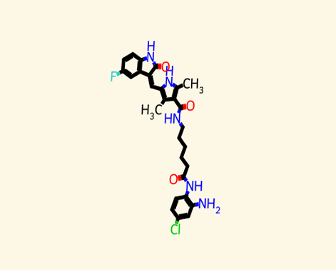 Cc1[nH]c(/C=C2\C(=O)Nc3ccc(F)cc32)c(C)c1C(=O)NCCCCCC(=O)Nc1ccc(Cl)cc1N